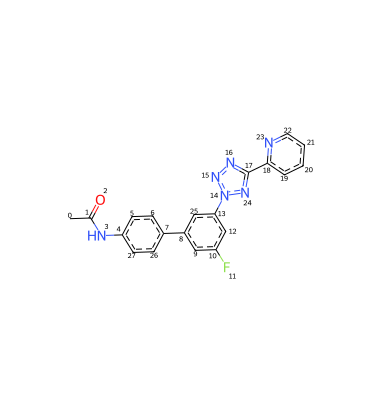 CC(=O)Nc1ccc(-c2cc(F)cc(-n3nnc(-c4ccccn4)n3)c2)cc1